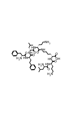 CC(C)C[C@@H](N)C(=O)N[C@H](CCCN)C(=O)N[C@H](CCCCNC(=O)[C@@H](CCCN)NC(=O)[C@@H](CC(C)C)NC(=O)[C@@H](CCc1ccccc1)NC(=O)[C@H](N)Cc1ccccc1)C(=O)O